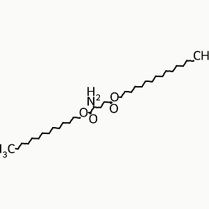 CCCCCCCCCCCCCCCCOC(=O)CC[C@H](N)C(=O)OCCCCCCCCCCCCCC